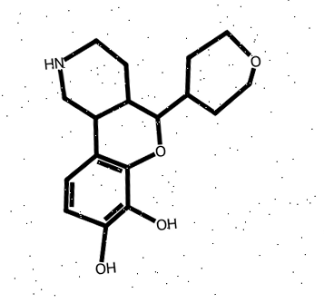 Oc1ccc2c(c1O)OC(C1CCOCC1)C1CCNCC21